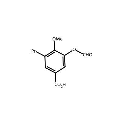 COc1c(OC=O)cc(C(=O)O)cc1C(C)C